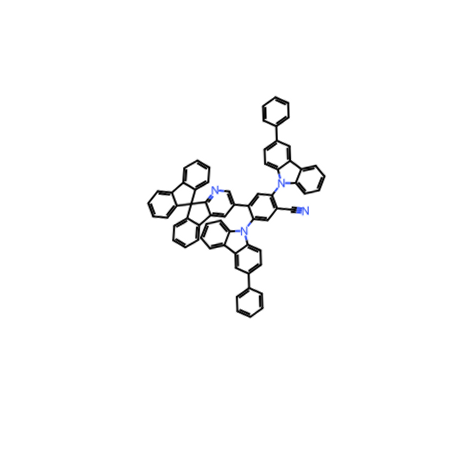 N#Cc1cc(-n2c3ccccc3c3cc(-c4ccccc4)ccc32)c(-c2cnc3c(c2)-c2ccccc2C32c3ccccc3-c3ccccc32)cc1-n1c2ccccc2c2cc(-c3ccccc3)ccc21